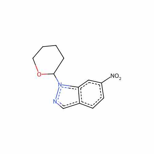 O=[N+]([O-])c1ccc2cnn(C3CCCCO3)c2c1